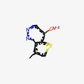 Cc1csc2c(O)cnnc12